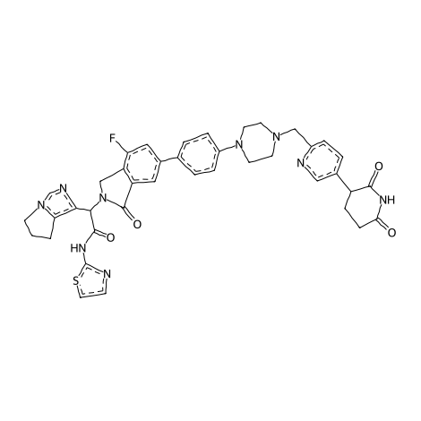 O=C1CCC(c2ccc(CN3CCN(c4ccc(-c5cc(F)c6c(c5)C(=O)N(C(C(=O)Nc5nccs5)c5ncn7c5CCC7)C6)cc4)CC3)nc2)C(=O)N1